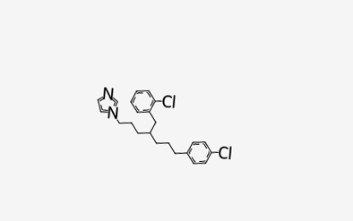 Clc1ccc(CCCC(CCCn2ccnc2)Cc2ccccc2Cl)cc1